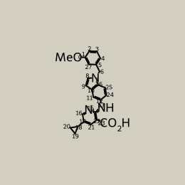 COc1cccc(Cn2ccc3cc(Nc4ncc(C5CC5)cc4C(=O)O)ccc32)c1